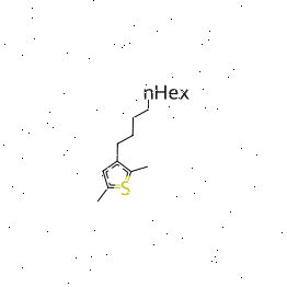 CCCCCCCCCCc1cc(C)sc1C